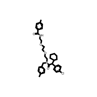 Cc1ccc(CN(CCOCCOCCNC(=O)c2ccc(C)cc2)C(=O)C(c2ccc(Cl)cc2)C2CCCCC2)cc1